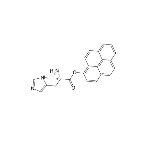 N[C@@H](Cc1cnc[nH]1)C(=O)Oc1ccc2ccc3cccc4ccc1c2c34